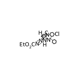 CCOC(=O)CN1CCN(C(=S)NC2N=C(c3ccccc3)c3cc(Cl)ccc3N(C)C2=O)CC1